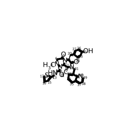 C[C@H]1C2N(C(=O)CN(C)N2C(=O)NCc2cccs2)[C@@H](Cc2ccc(O)cc2)C(=O)N1Cc1cccc2cccnc12